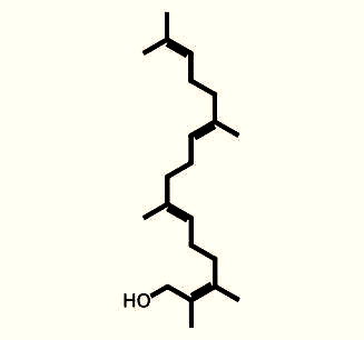 CC(C)=CCCC(C)=CCCC(C)=CCCC(C)=C(C)CO